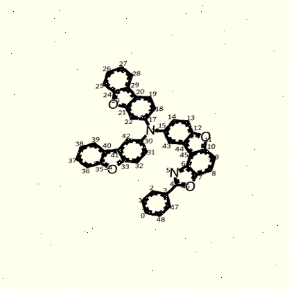 c1ccc(-c2nc3c(ccc4oc5ccc(N(c6ccc7c(c6)oc6ccccc67)c6ccc7oc8ccccc8c7c6)cc5c43)o2)cc1